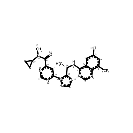 C[C@H](Nc1ncnc2c(C(F)(F)F)cc(Cl)cc12)c1ncnn1-c1cc(C(=O)N(C)C2CC2)ncn1